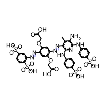 Cc1c(N)c(Nc2ccc(S(=O)(=O)O)cc2)nc(Nc2ccc(S(=O)(=O)O)cc2)c1/N=N/c1cc(OCC(=O)O)c(/N=N/c2cc(S(=O)(=O)O)ccc2S(=O)(=O)O)cc1OCC(=O)O